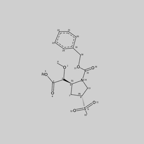 COC(C(=O)O)[C@@H]1C[C@@H](S(C)(=O)=O)CN1C(=O)OCc1ccccc1